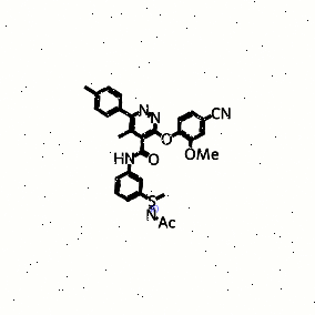 COc1cc(C#N)ccc1Oc1nnc(-c2ccc(C)cc2)c(C)c1C(=O)Nc1cccc(/S(C)=N/C(C)=O)c1